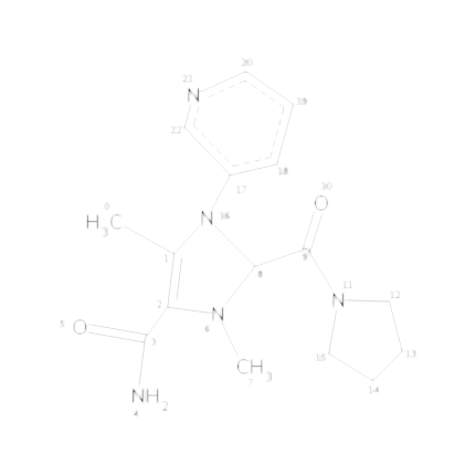 CC1=C(C(N)=O)N(C)C(C(=O)N2CCCC2)N1c1cccnc1